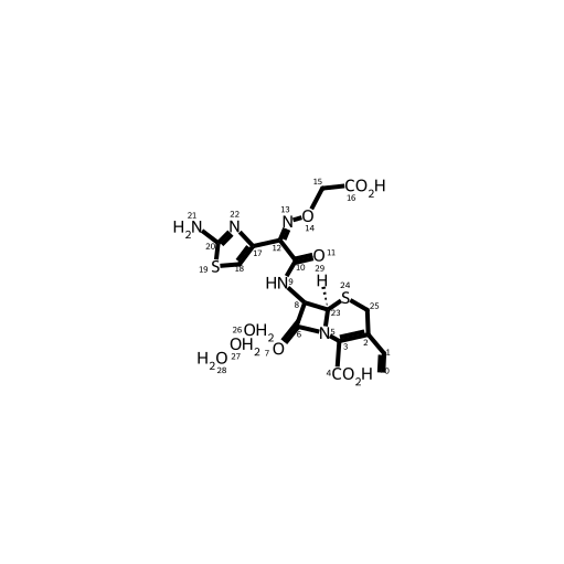 C=CC1=C(C(=O)O)N2C(=O)C(NC(=O)/C(=N\OCC(=O)O)c3csc(N)n3)[C@H]2SC1.O.O.O